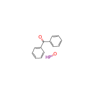 O=C(c1ccccc1)c1ccccc1.O=P